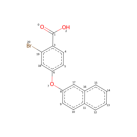 O=C(O)c1ccc(Oc2ccc3ccccc3c2)cc1Br